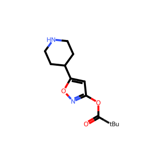 CC(C)(C)C(=O)Oc1cc(C2CCNCC2)on1